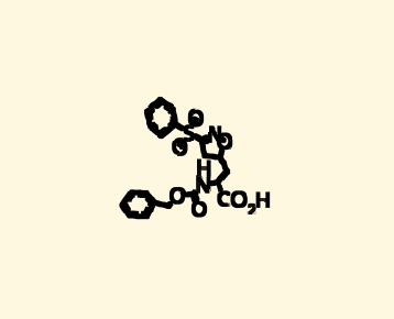 O=C(N[C@@H](CC1CC(S(=O)(=O)c2ccccc2)=NO1)C(=O)O)OCc1ccccc1